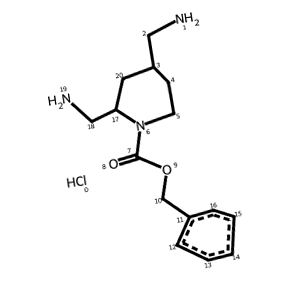 Cl.NCC1CCN(C(=O)OCc2ccccc2)C(CN)C1